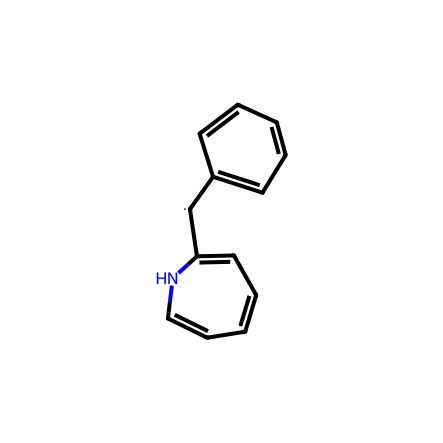 [CH](C1=CC=CC=CN1)c1ccccc1